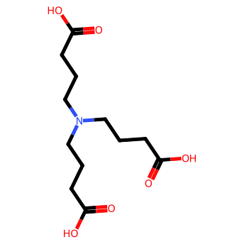 O=C(O)CCCN(CCCC(=O)O)CCCC(=O)O